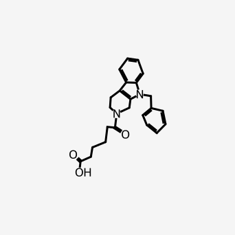 O=C(O)CCCCC(=O)N1CCc2c(n(Cc3ccccc3)c3ccccc23)C1